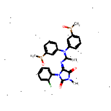 CN1C(=O)C(=NC(N(c2cccc([S+](C)[O-])c2)c2cccc([S+](C)[O-])c2)C(Cl)(Cl)Cl)N(c2ccccc2F)C1=O